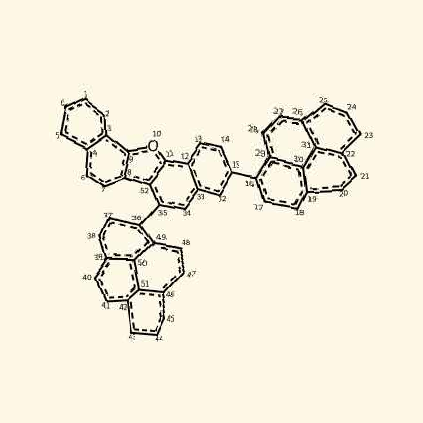 c1ccc2c(c1)ccc1c2oc2c3ccc(-c4ccc5ccc6cccc7ccc4c5c67)cc3cc(-c3ccc4ccc5cccc6ccc3c4c56)c12